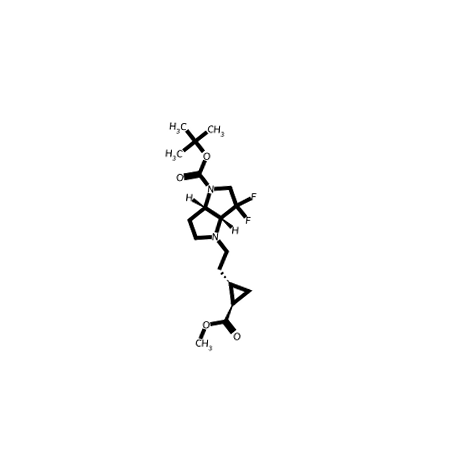 COC(=O)[C@@H]1C[C@H]1CCN1CC[C@H]2[C@@H]1C(F)(F)CN2C(=O)OC(C)(C)C